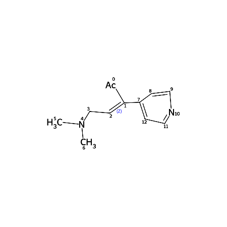 CC(=O)/C(=C\CN(C)C)c1ccncc1